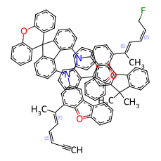 C#C/C=C\C=C(/C)c1cc(N(c2ccccc2)c2cccc3c2-c2c(N(c4ccccc4-c4ccc5c(c4)C(C)(C)c4ccccc4-5)c4ccc(/C(C)=C/C=C\CF)c5oc6ccccc6c45)cccc2C32c3ccccc3Oc3ccccc32)cc2c1oc1ccccc12